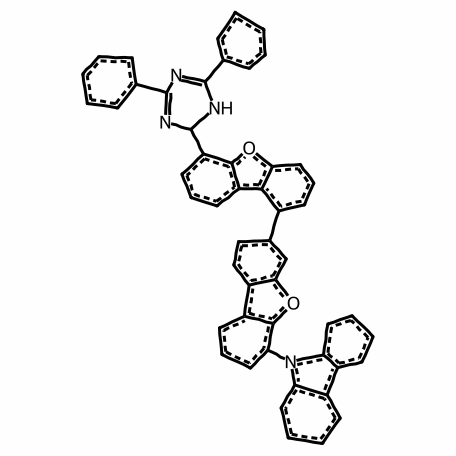 c1ccc(C2=NC(c3cccc4c3oc3cccc(-c5ccc6c(c5)oc5c(-n7c8ccccc8c8ccccc87)cccc56)c34)NC(c3ccccc3)=N2)cc1